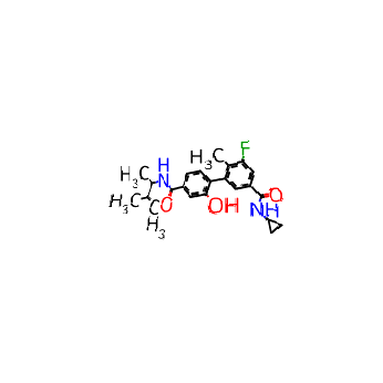 Cc1c(F)cc(C(=O)NC2CC2)cc1-c1ccc(C(=O)NC(C)C(C)C)cc1O